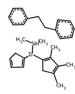 CC1=C(C)C(C)=[C]([Zr]([C]2=CC=CC2)[SiH](C)C)C1.c1ccc(CCc2ccccc2)cc1